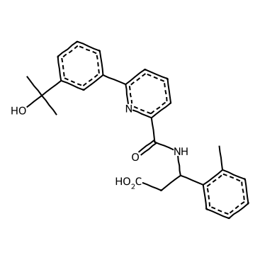 Cc1ccccc1C(CC(=O)O)NC(=O)c1cccc(-c2cccc(C(C)(C)O)c2)n1